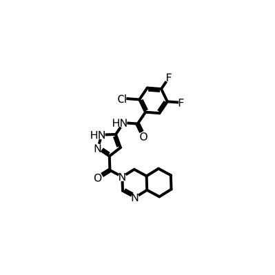 O=C(Nc1cc(C(=O)N2C=NC3CCCCC3C2)n[nH]1)c1cc(F)c(F)cc1Cl